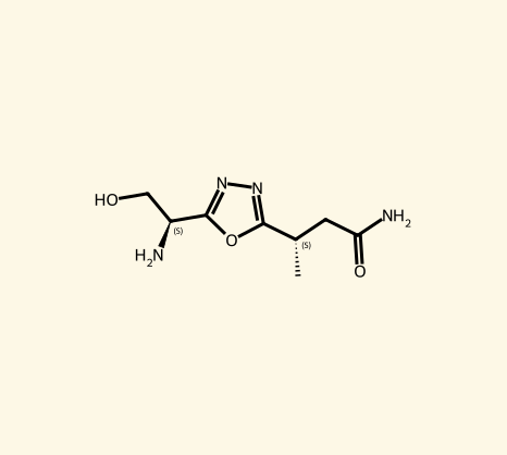 C[C@@H](CC(N)=O)c1nnc([C@@H](N)CO)o1